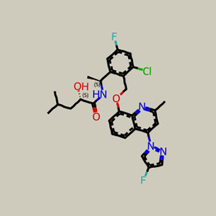 Cc1cc(-n2cc(F)cn2)c2cccc(OCc3c(Cl)cc(F)cc3[C@H](C)NC(=O)[C@@H](O)CC(C)C)c2n1